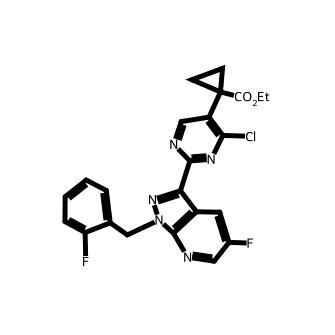 CCOC(=O)C1(c2cnc(-c3nn(Cc4ccccc4F)c4ncc(F)cc34)nc2Cl)CC1